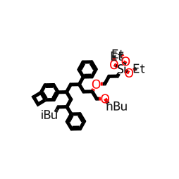 CCCCOCC(CC(CC(CC(CC(C)CC)c1ccccc1)c1ccc2c(c1)CC2)c1ccccc1)OCCC[Si](OCC)(OCC)OCC